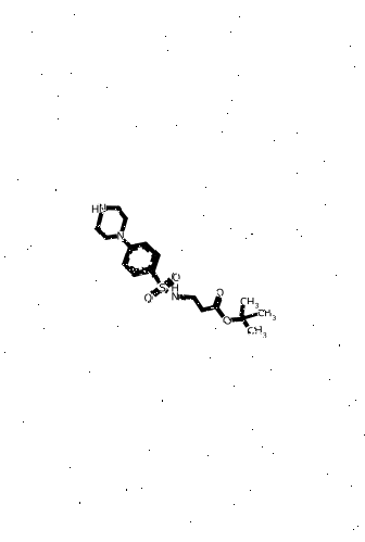 CC(C)(C)OC(=O)CCNS(=O)(=O)c1ccc(N2CCNCC2)cc1